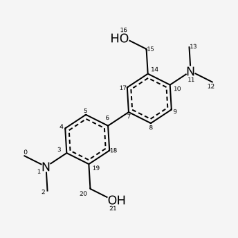 CN(C)c1ccc(-c2ccc(N(C)C)c(CO)c2)cc1CO